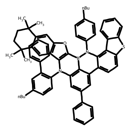 CCCCc1ccc(N2B3c4oc5cc6c(cc5c4N(c4ccc(CCCC)cc4-c4ccccc4)c4cc(-c5ccccc5)cc(c43)-c3ccc4sc5ccccc5c4c32)C(C)(C)CCC6(C)C)cc1